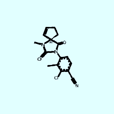 Cc1c(N2C(=O)N(C)[C@]3(C=CCC3)C2=O)ccc(C#N)c1Cl